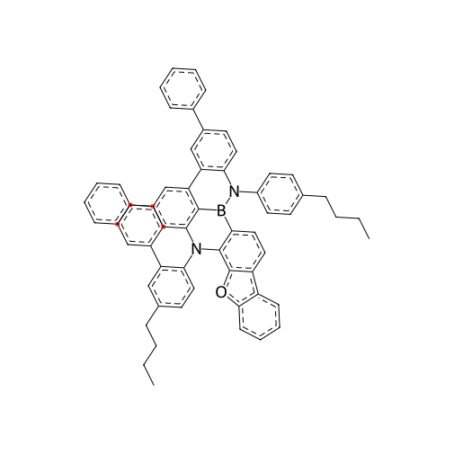 CCCCc1ccc(N2B3c4ccc5c(oc6ccccc65)c4N(c4ccc(CCCC)cc4-c4ccccc4)c4cc(-c5ccccc5)cc(c43)-c3cc(-c4ccccc4)ccc32)cc1